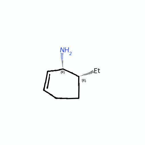 CC[C@@H]1CCC=C[C@@H]1N